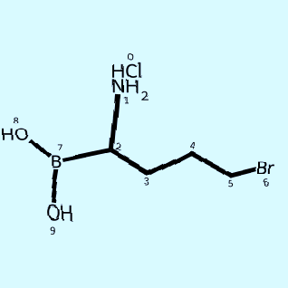 Cl.NC(CCCBr)B(O)O